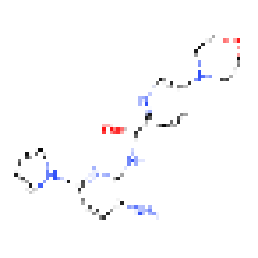 Nc1ccc(-n2cccc2)nc1NC(=O)c1ccc(N2CCOCC2)cn1